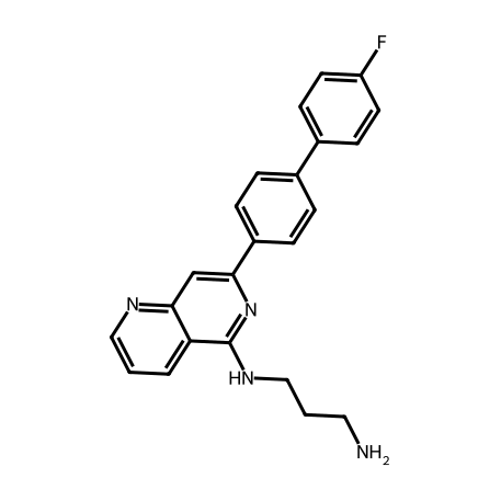 NCCCNc1nc(-c2ccc(-c3ccc(F)cc3)cc2)cc2ncccc12